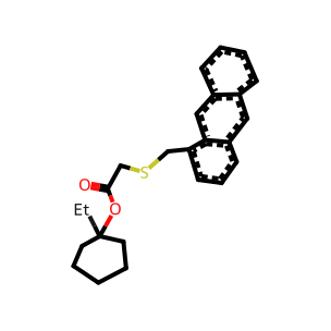 CCC1(OC(=O)CSCc2cccc3cc4ccccc4cc23)CCCCC1